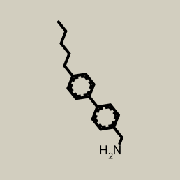 CCCCCc1ccc(-c2ccc(CN)cc2)cc1